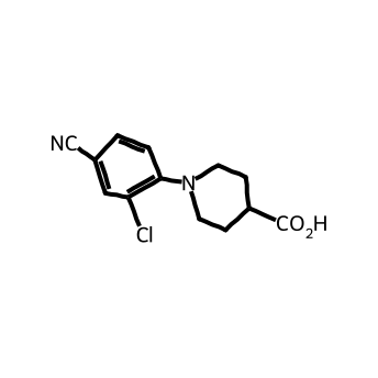 N#Cc1ccc(N2CCC(C(=O)O)CC2)c(Cl)c1